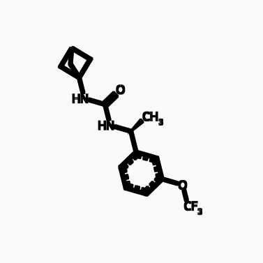 C[C@H](NC(=O)NC12CC(C1)C2)c1cccc(OC(F)(F)F)c1